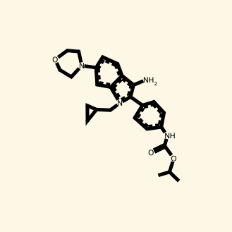 CC(C)OC(=O)Nc1ccc(-c2c(N)c3ccc(N4CCOCC4)cc3n2CC2CC2)cc1